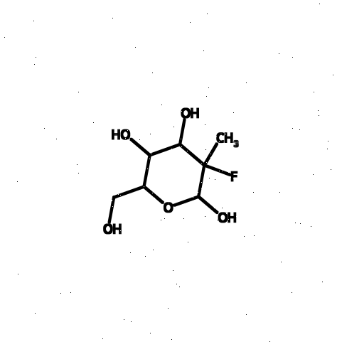 CC1(F)C(O)OC(CO)C(O)C1O